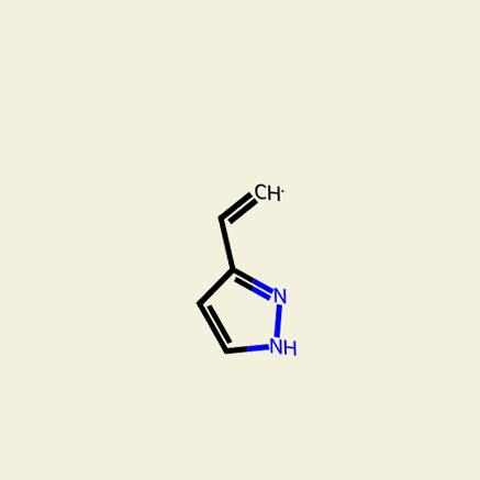 [CH]=Cc1cc[nH]n1